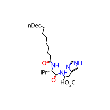 CCCCCCCCCCCCCCCCCC(=O)N[C@H](C(=O)N[C@@H](Cc1c[nH]cn1)C(=O)O)C(C)C